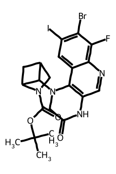 CC(C)(C)OC(=O)N1CC2CC1C2N1CC(=O)Nc2cnc3c(F)c(Br)c(I)cc3c21